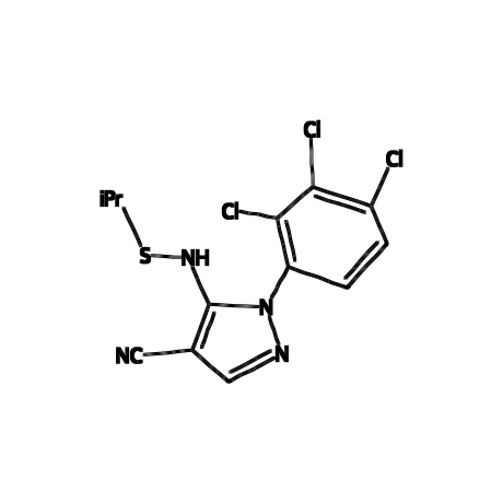 CC(C)SNc1c(C#N)cnn1-c1ccc(Cl)c(Cl)c1Cl